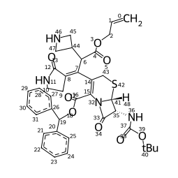 C=CCOC(=O)C(C(=C1CCNC1=O)C1=C(C(=O)OC(c2ccccc2)c2ccccc2)N2C(=O)[C@@H](NC(=O)OC(C)(C)C)[C@H]2SC1)C1CNC1